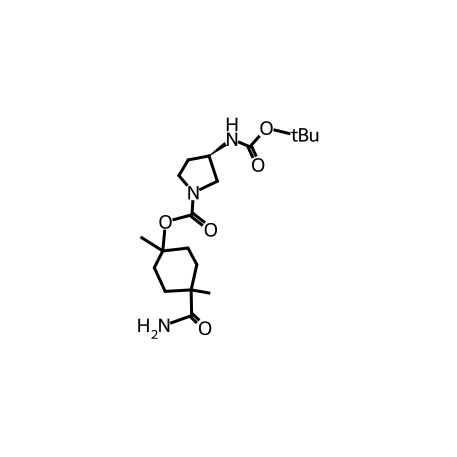 CC(C)(C)OC(=O)N[C@@H]1CCN(C(=O)OC2(C)CCC(C)(C(N)=O)CC2)C1